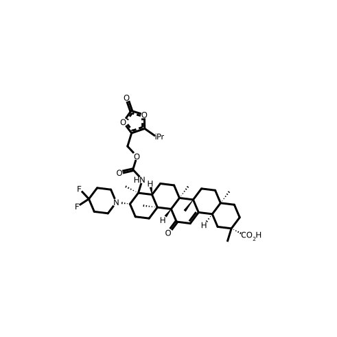 CC(C)c1oc(=O)oc1COC(=O)N[C@]1(C)[C@@H](N2CCC(F)(F)CC2)CC[C@@]2(C)[C@H]1CC[C@]1(C)[C@@H]2C(=O)C=C2[C@@H]3C[C@@](C)(C(=O)O)CC[C@]3(C)CC[C@]21C